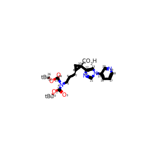 CC(C)(C)OC(=O)N(CCC[C@H]1C[C@]1(C(=O)O)c1cn(-c2cccnc2)cn1)C(=O)OC(C)(C)C